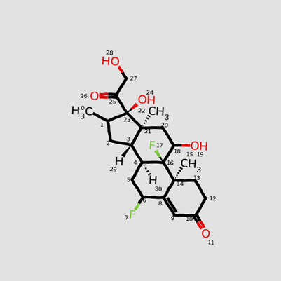 CC1C[C@H]2[C@@H]3CC(F)C4=CC(=O)CC[C@]4(C)[C@@]3(F)C(O)C[C@]2(C)[C@@]1(O)C(=O)CO